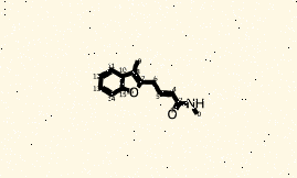 CNC(=O)C=CCC1=C(C)C2C=CC=CC2O1